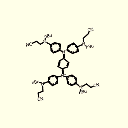 CCCCN(CCC#N)c1ccc([N+](=C2C=CC(=[N+](c3ccc(N(CCC#N)CCCC)cc3)c3ccc(N(CCC#N)CCCC)cc3)C=C2)c2ccc(N(CCC#N)CCCC)cc2)cc1